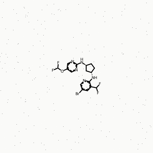 FC(F)Oc1cnc(N[C@H]2CC[C@H](Nc3ncc(Br)cc3C(F)F)C2)nc1